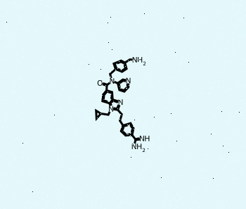 N=C(N)c1ccc(CCc2nc3cc(C(=O)N(Cc4ccc(CN)cc4)c4cccnc4)ccc3n2CC2CC2)cc1